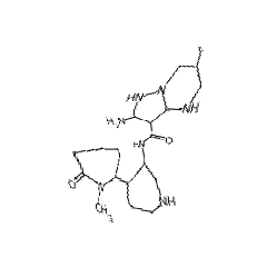 CN1C(=O)CCCC1C1CCNCC1NC(=O)C1C(N)NN2CC(F)CNC12